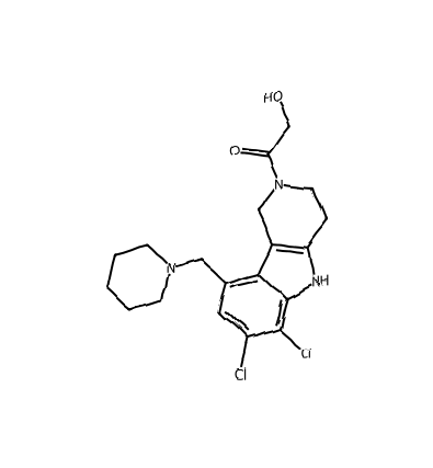 O=C(CO)N1CCc2[nH]c3c(Cl)c(Cl)cc(CN4CCCCC4)c3c2C1